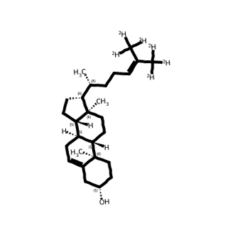 [2H]C([2H])([2H])C(=CCC[C@@H](C)[C@H]1CC[C@H]2[C@@H]3CC=C4C[C@@H](O)CC[C@]4(C)[C@H]3CC[C@]12C)C([2H])([2H])[2H]